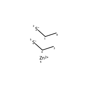 CC[S-].CC[S-].[Zn+2]